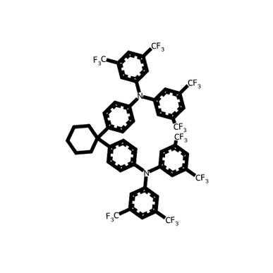 FC(F)(F)c1cc(N(c2ccc(C3(c4ccc(N(c5cc(C(F)(F)F)cc(C(F)(F)F)c5)c5cc(C(F)(F)F)cc(C(F)(F)F)c5)cc4)CCCCC3)cc2)c2cc(C(F)(F)F)cc(C(F)(F)F)c2)cc(C(F)(F)F)c1